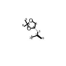 C=C(I)C[C@H]1COC(C)(C)O1